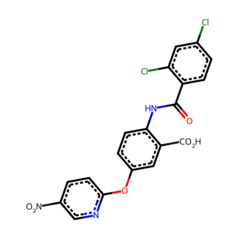 O=C(Nc1ccc(Oc2ccc([N+](=O)[O-])cn2)cc1C(=O)O)c1ccc(Cl)cc1Cl